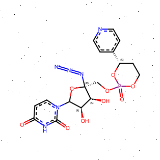 [N-]=[N+]=N[C@]1(COP2(=O)OCC[C@@H](c3ccncc3)O2)OC(n2ccc(=O)[nH]c2=O)[C@H](O)[C@@H]1O